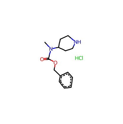 CN(C(=O)OCc1ccccc1)C1CCNCC1.Cl